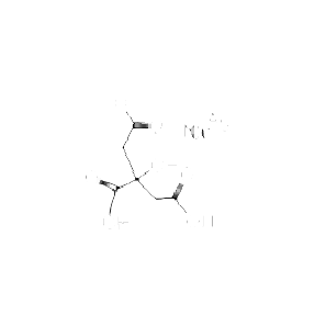 O=C([O-])CC(O)(CC(=O)O)C(=O)O.[Ag+].[Cl-].[Na+]